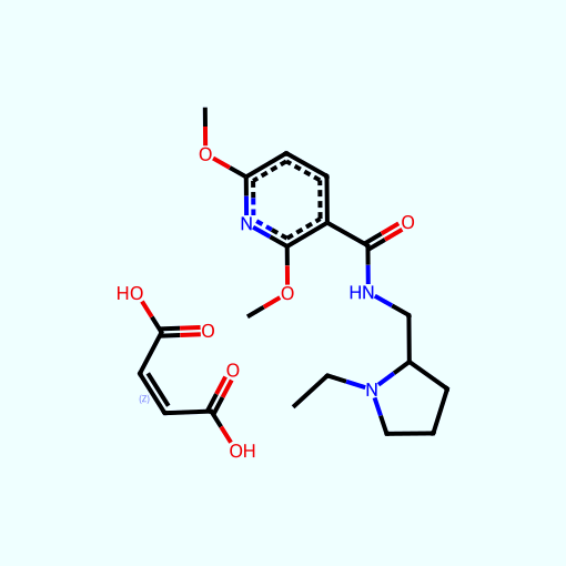 CCN1CCCC1CNC(=O)c1ccc(OC)nc1OC.O=C(O)/C=C\C(=O)O